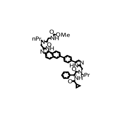 CCCN(Cc1nc2ccc3cc(-c4ccc(-c5cnc(CN(CCC)C(=O)[C@H](NC(=O)C6CC6)c6ccccc6)[nH]5)cc4)ccc3c2[nH]1)C(=O)CNC(=O)OC